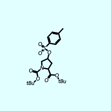 Cc1ccc(S(=O)(=O)OC2CC(C(=O)OC(C)(C)C)N(C(=O)OC(C)(C)C)C2)cc1